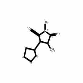 CC1C(=O)N(C(C)C)C(=O)C1C1CCCC1